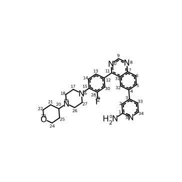 Nc1cc(-c2ccc3ncnc(-c4ccc(N5CCN(C6CCOCC6)CC5)c(F)c4)c3c2)ccn1